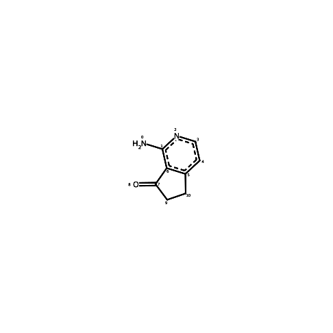 Nc1nccc2c1C(=O)CC2